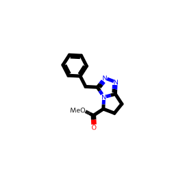 COC(=O)C1CCc2nnc(Cc3ccccc3)n21